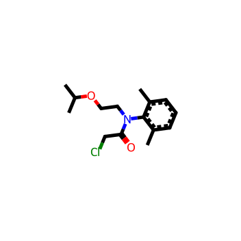 Cc1cccc(C)c1N(CCOC(C)C)C(=O)CCl